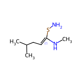 CN/C(=C/CC(C)C)SN